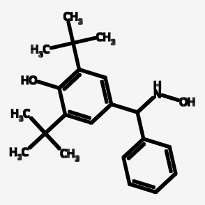 CC(C)(C)c1cc(C(NO)c2ccccc2)cc(C(C)(C)C)c1O